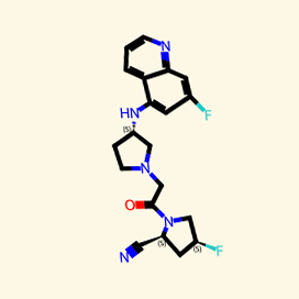 N#C[C@@H]1C[C@H](F)CN1C(=O)CN1CC[C@H](Nc2cc(F)cc3ncccc23)C1